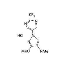 CNc1cn(-c2cnc(C(F)(F)F)nc2)nc1OC.Cl